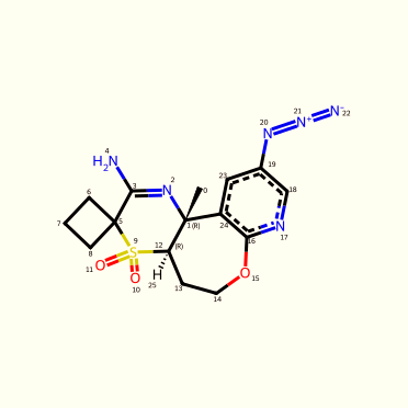 C[C@]12N=C(N)C3(CCC3)S(=O)(=O)[C@@H]1CCOc1ncc(N=[N+]=[N-])cc12